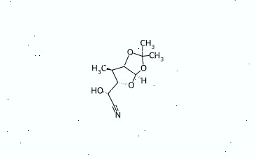 C[C@H]1C2OC(C)(C)O[C@H]2O[C@@H]1[C@@H](O)C#N